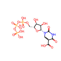 O=C(O)c1cn([C@@H]2O[C@H](COP(=O)(O)OP(=O)(O)OP(=O)(O)O)[C@@H](O)[C@H]2O)c(=O)[nH]c1=O